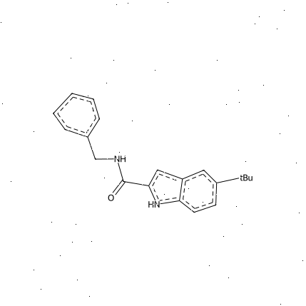 CC(C)(C)c1ccc2[nH]c(C(=O)NCc3ccccc3)cc2c1